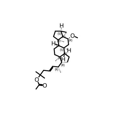 CO[C@@H]1C[C@H]2[C@@H]3CC[C@H]([C@H](C)C=CCC(C)(C)OC(C)=O)[C@@]3(C)CC[C@@H]2[C@@]2(C)CC[C@H]3C[C@]312